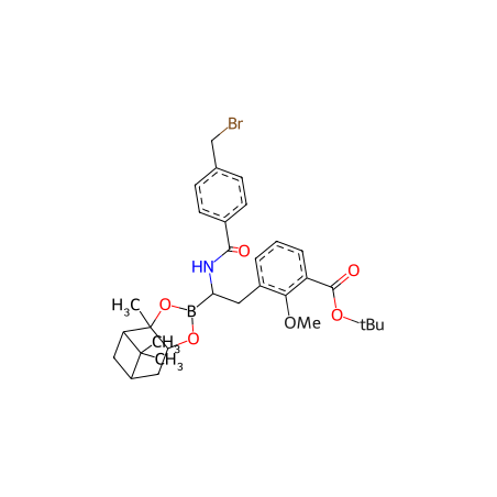 COc1c(CC(NC(=O)c2ccc(CBr)cc2)B2OC3CC4CC(C4(C)C)C3(C)O2)cccc1C(=O)OC(C)(C)C